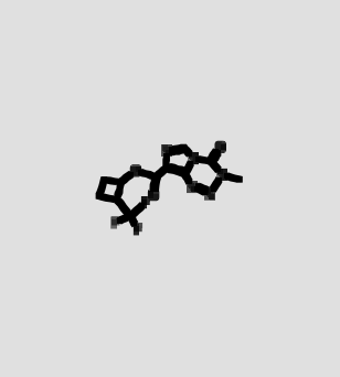 Cn1nnc2c(C(=O)OC3CCC3C(F)(F)F)ncn2c1=O